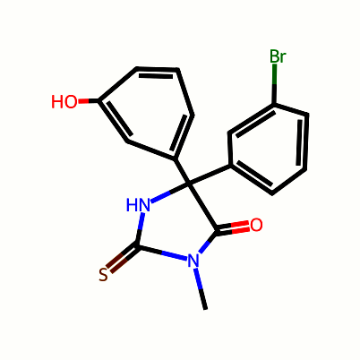 CN1C(=O)C(c2cccc(O)c2)(c2cccc(Br)c2)NC1=S